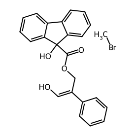 CBr.O=C(OCC(=CO)c1ccccc1)C1(O)c2ccccc2-c2ccccc21